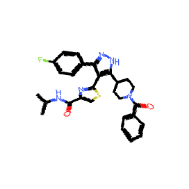 CC(C)NC(=O)c1csc(-c2c(-c3ccc(F)cc3)n[nH]c2C2CCN(C(=O)c3ccccc3)CC2)n1